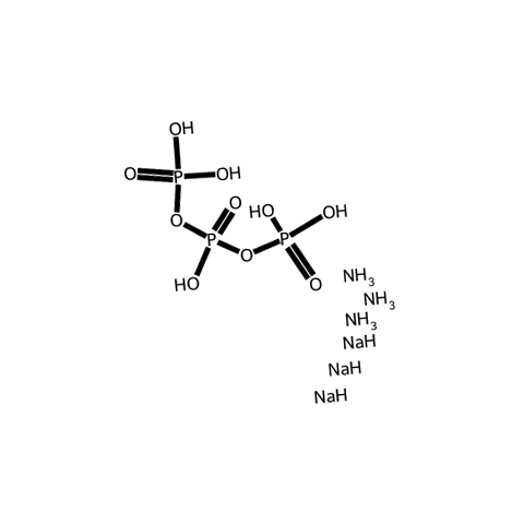 N.N.N.O=P(O)(O)OP(=O)(O)OP(=O)(O)O.[NaH].[NaH].[NaH]